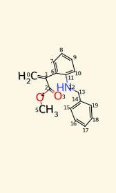 C=C(C(=O)OC)c1ccccc1NCc1ccccc1